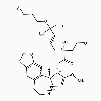 CCCCOC(C)(C)/C=C/C[C@@](O)(CC=O)C(=O)O[C@@H]1C(OC)=C[C@]23CCCN2CCc2cc4c(cc2[C@H]13)OCO4